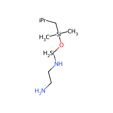 CC(C)C[Si](C)(C)O[SiH2]NCCN